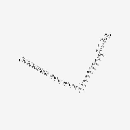 N.N.N.N.N.N.N.N.N.N.N.N.N.N.N.N.O.O.O.O.O.O.O.O.O